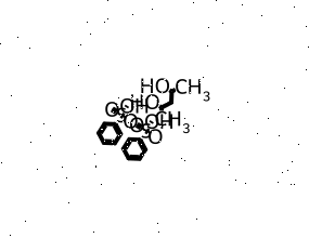 CC(O)CC(C)O.O=S(=O)(O)c1ccccc1.O=S(=O)(O)c1ccccc1